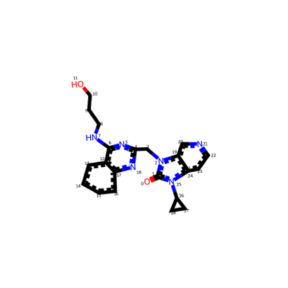 O=c1n(Cc2nc(NCCCO)c3ccccc3n2)c2cnccc2n1C1CC1